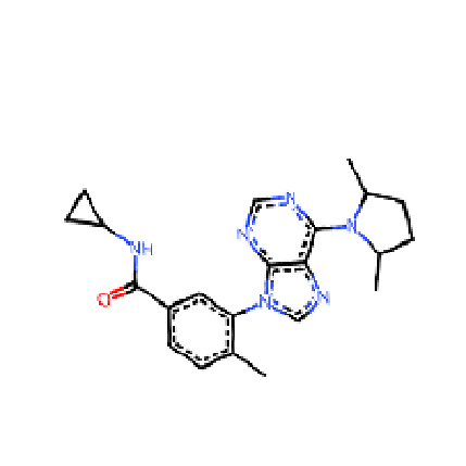 Cc1ccc(C(=O)NC2CC2)cc1-n1cnc2c(N3C(C)CCC3C)ncnc21